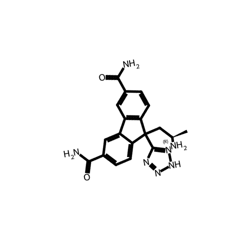 C[C@@H](N)CC1(c2nn[nH]n2)c2ccc(C(N)=O)cc2-c2cc(C(N)=O)ccc21